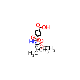 CCOC(=O)[C@H](CC(C)C)NS(=O)(=O)c1ccc(C(=O)O)cc1